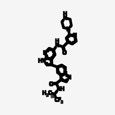 C[C@@H](NC(=O)c1cnn2ccc(-c3c[nH]c4ncc(NC(=O)c5ccnc(N6CCNCC6)c5)cc34)cc12)C(F)(F)F